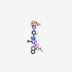 CO[C@H]1CN(c2ccc(-c3cc4nc(C(=O)N5CCc6ccccc6[C@H]5C)cc(C5CC5)n4n3)c(F)c2)CC1O